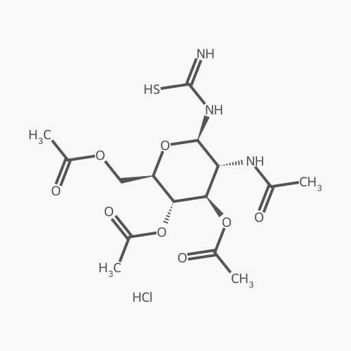 CC(=O)N[C@@H]1[C@@H](OC(C)=O)[C@H](OC(C)=O)[C@@H](COC(C)=O)O[C@H]1NC(=N)S.Cl